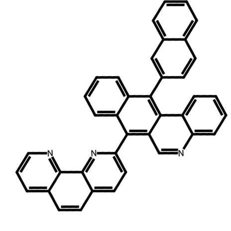 c1ccc2cc(-c3c4ccccc4c(-c4ccc5ccc6cccnc6c5n4)c4cnc5ccccc5c34)ccc2c1